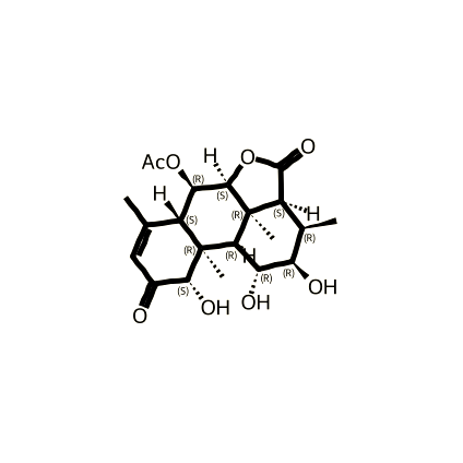 CC(=O)O[C@H]1[C@H]2OC(=O)[C@H]3[C@@H](C)[C@@H](O)[C@H](O)[C@H]([C@@]4(C)[C@H](O)C(=O)C=C(C)[C@H]14)[C@@]23C